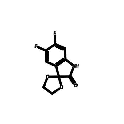 O=C1Nc2cc(F)c(F)cc2C12OCCO2